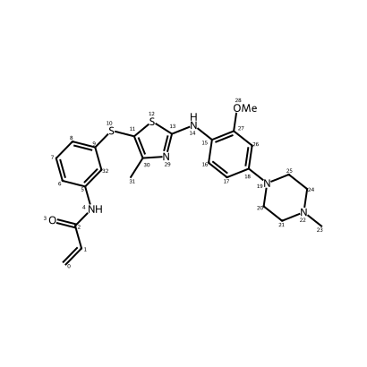 C=CC(=O)Nc1cccc(Sc2sc(Nc3ccc(N4CCN(C)CC4)cc3OC)nc2C)c1